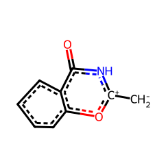 [CH2-][c+]1[nH]c(=O)c2ccccc2o1